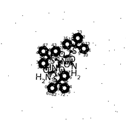 NC(=O)O[C@H](CSC(c1ccccc1)(c1ccccc1)c1ccccc1)C(=O)N[C@H](CSC(c1ccccc1)(c1ccccc1)c1ccccc1)C(=O)N[C@H](CSC(c1ccccc1)(c1ccccc1)c1ccccc1)C(N)=O